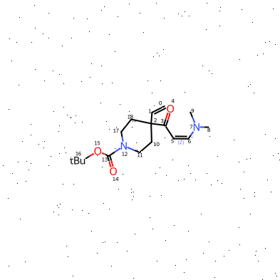 C=CC1(C(=O)/C=C\N(C)C)CCN(C(=O)OC(C)(C)C)CC1